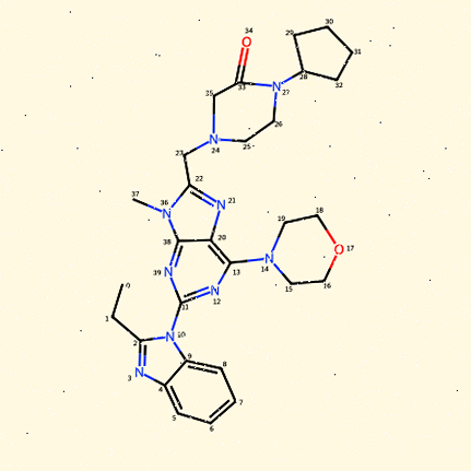 CCc1nc2ccccc2n1-c1nc(N2CCOCC2)c2nc(CN3CCN(C4CCCC4)C(=O)C3)n(C)c2n1